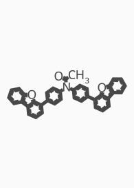 CC(=O)N(c1ccc(-c2cccc3c2oc2ccccc23)cc1)c1ccc(-c2cccc3c2oc2ccccc23)cc1